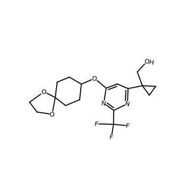 OCC1(c2cc(OC3CCC4(CC3)OCCO4)nc(C(F)(F)F)n2)CC1